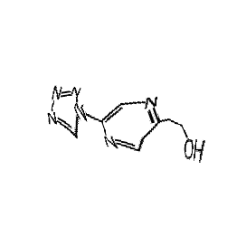 OCc1cnc(-n2cnnn2)cn1